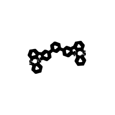 c1cc(-c2ccc3c(c2)c2cccc4c2n3-c2ccccc2S4)cc(-c2ccc3c(c2)c2cccc4c2n3-c2ccccc2S4)c1